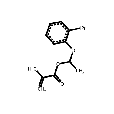 C=C(C)C(=O)OC(C)Oc1ccccc1C(C)C